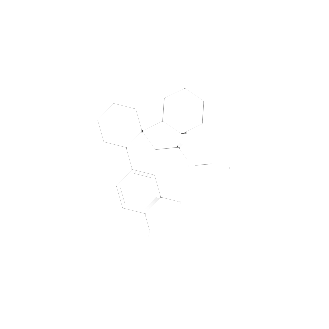 COC(=O)CC1(C2CCCCC2)CCCCC1c1ccc(Cl)c(Cl)c1